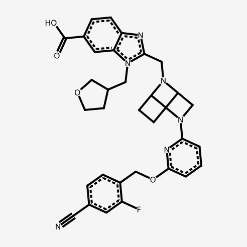 N#Cc1ccc(COc2cccc(N3CC4N(Cc5nc6ccc(C(=O)O)cc6n5CC5CCOC5)C5CCC543)n2)c(F)c1